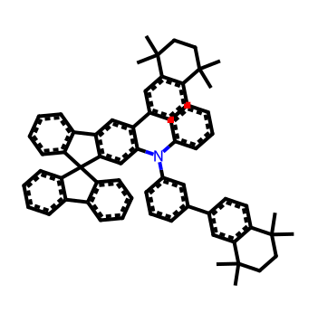 CC1(C)CCC(C)(C)c2cc(-c3cccc(N(c4ccccc4)c4cc5c(cc4-c4ccc6c(c4)C(C)(C)CCC6(C)C)-c4ccccc4C54c5ccccc5-c5ccccc54)c3)ccc21